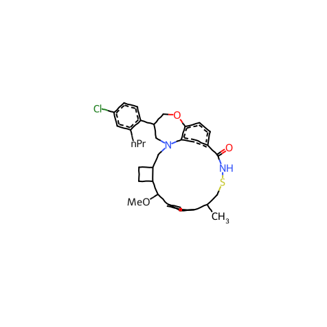 CCCc1cc(Cl)ccc1C1COc2ccc3cc2N(C1)CC1CCC1C(OC)C1=CC(C1)C(C)CSNC3=O